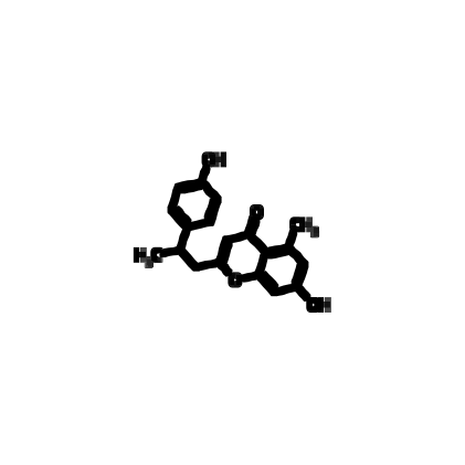 Cc1cc(O)cc2oc(CC(C)c3ccc(O)cc3)cc(=O)c12